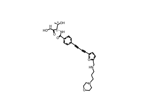 C[C@@H](O)[C@H](NC(=O)c1ccc(C#CC#Cc2ccc(CNCCCN3CCOCC3)o2)cc1)C(=O)NO